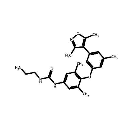 Cc1cc(Oc2c(C)cc(NC(=O)NCCN)cc2C)cc(-c2c(C)noc2C)c1